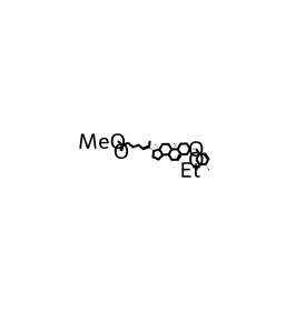 CC[C@H]1OC(O[C@H]2CC[C@@]3(C)C(=CCC4C3CC[C@@]3(C)C4CC[C@@H]3/C(C)=C/CCCC(=O)OC)C2)C=C[C@@H]1C